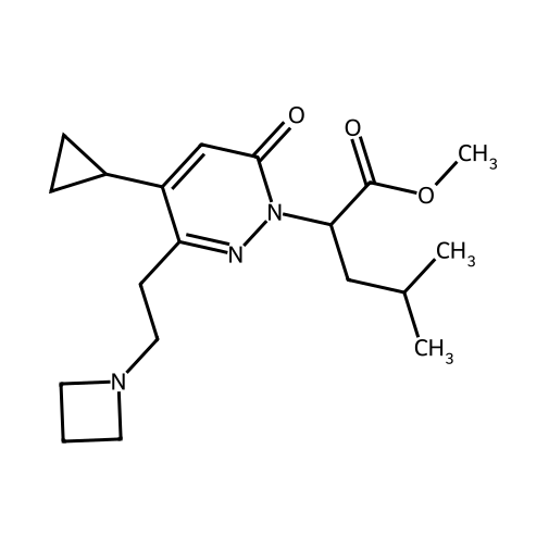 COC(=O)C(CC(C)C)n1nc(CCN2CCC2)c(C2CC2)cc1=O